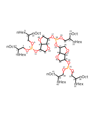 CCCCCCCCC(CCCCCC)COP(OCC(CCCCCC)CCCCCCCC)OC1COC2C(OP(OCC(CCCCCC)CCCCCCCC)OC3COC4C(OP(OCC(CCCCCC)CCCCCCCC)OCC(CCCCCC)CCCCCCCC)COC34)COC12